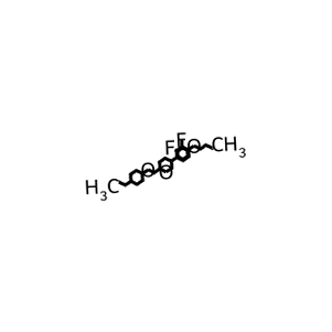 CCCCOc1ccc(C2CCC(COC3CCC(CCC)CC3)OC2)c(F)c1F